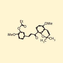 CCC(=O)Oc1cc(C=CC(=O)c2ccc(OC)c3c2OC(C)(C)C=C3)ccc1OC